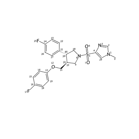 Cn1cnc(S(=O)(=O)N2C[C@@H](COc3ccc(F)cc3)[C@H](c3ccc(F)cc3)C2)c1